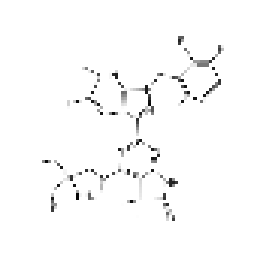 Cc1nc2c(cc1F)c(-c1nc(NCC(N)(CF)CF)c3c(n1)NC(=O)C3(C)C)nn2Cc1c(F)ccc(F)c1F